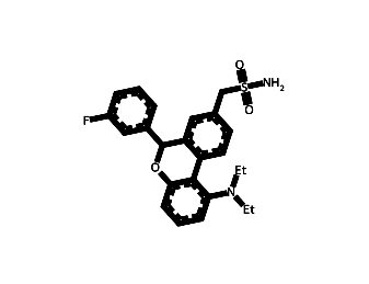 CCN(CC)c1cccc2c1-c1ccc(CS(N)(=O)=O)cc1C(c1cccc(F)c1)O2